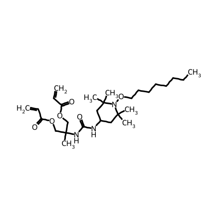 C=CC(=O)OCC(C)(COC(=O)C=C)NC(=O)NC1CC(C)(C)N(OCCCCCCCC)C(C)(C)C1